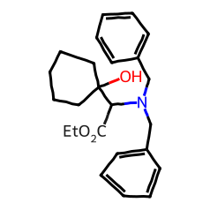 CCOC(=O)C(N(Cc1ccccc1)Cc1ccccc1)C1(O)CCCCC1